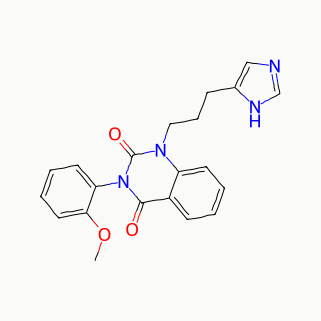 COc1ccccc1-n1c(=O)c2ccccc2n(CCCc2cnc[nH]2)c1=O